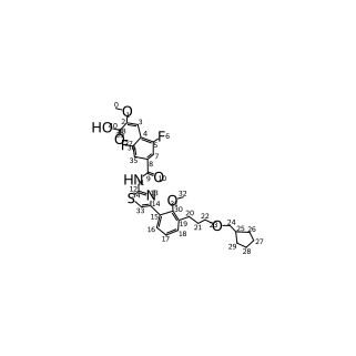 CO/C(=C/c1c(F)cc(C(=O)Nc2nc(-c3cccc(CCCOCC4CCCC4)c3OC)cs2)cc1F)C(=O)O